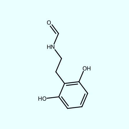 O=CNCCc1c(O)cccc1O